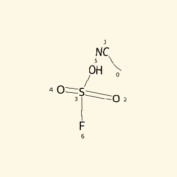 CC#N.O=S(=O)(O)F